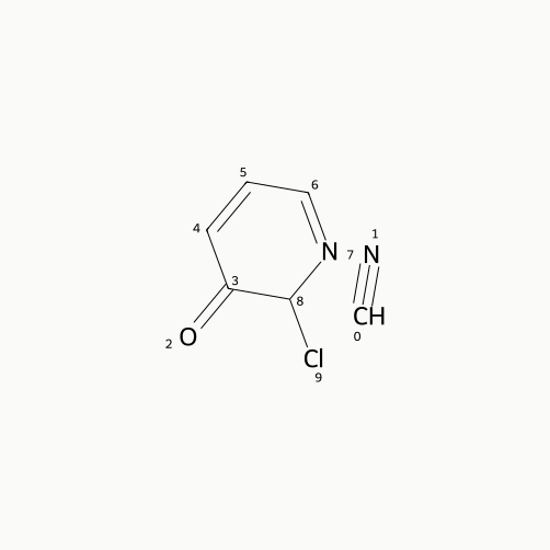 C#N.O=C1C=CC=NC1Cl